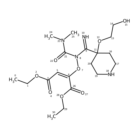 CCOC(=O)C=C(ON(C(=N)C1(OCCO)CCNCC1)C(=O)N(C)C)C(=O)OCC